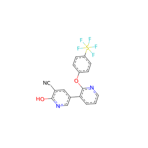 N#Cc1cc(-c2cccnc2Oc2ccc(S(F)(F)(F)(F)F)cc2)cnc1O